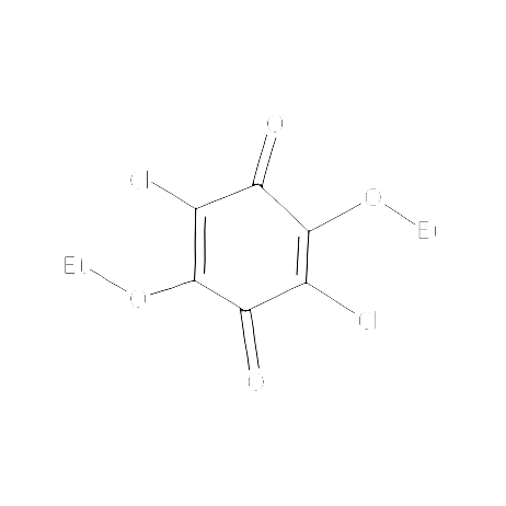 CCOC1=C(Cl)C(=O)C(OCC)=C(Cl)C1=O